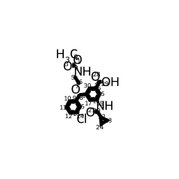 COC(=O)NCCOC(c1cccc(Cl)c1)c1cc(NC(=O)C2CC2)cc(C(=O)O)c1